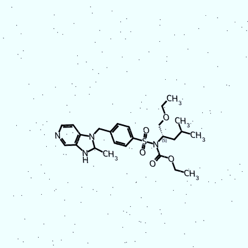 CCOC[C@H](CC(C)C)N(C(=O)OCC)S(=O)(=O)c1ccc(CN2c3ccncc3NC2C)cc1